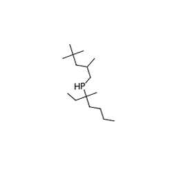 CCCCC(C)(CC)PCC(C)CC(C)(C)C